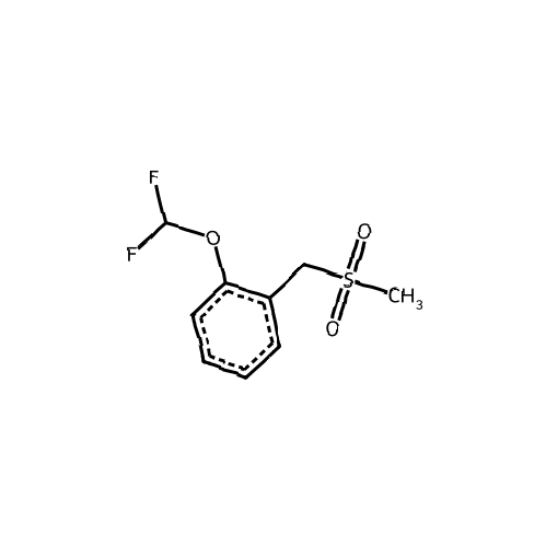 CS(=O)(=O)Cc1ccccc1OC(F)F